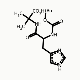 CC(C)(C)OC(=O)NC(Cc1c[nH]cn1)C(=O)NC(C)(C)C(=O)O